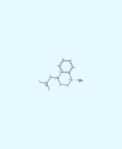 C[SiH](C)ON1CC[C@@H](C(C)(C)C)c2ccccc21